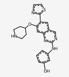 Oc1cccc(Nc2ncc3cc(-c4nccs4)c(OC4CCNCC4)cc3n2)c1